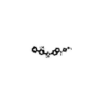 Cc1cc(-c2nc(-c3ccc4c(c3)CC[C@H]4N[C@H]3C[C@H](C=O)C3)no2)ccc1-c1ccccc1